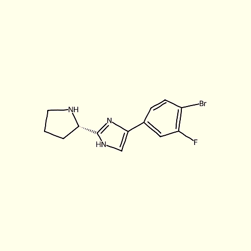 Fc1cc(-c2c[nH]c([C@@H]3CCCN3)n2)ccc1Br